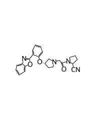 N#CC1CCCN1C(=O)CN1CC[C@H](Oc2ccccc2-c2nc3ccccc3o2)C1